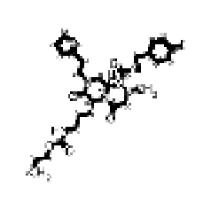 C=CCOC(=O)NCCC[C@H]1C(=O)N(CCc2cccs2)C[C@H]2N1C(=O)CN(C)N2C(=O)NCc1ccc(F)cc1